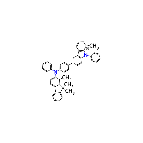 CC1C(N(c2ccccc2)c2ccc(-c3ccc4c(c3)c3c(n4-c4ccccc4)[C@H](C)CC=C3)cc2)=CC=C2c3ccccc3C(C)(C)C21